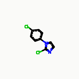 Clc1ccc(-n2ccnc2Cl)cc1